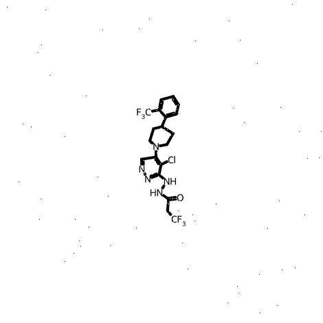 O=C(CC(F)(F)F)NNc1nncc(N2CCC(c3ccccc3C(F)(F)F)CC2)c1Cl